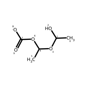 CC(O)OC(C)OC([O])=O